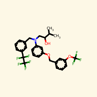 CC(C)C(O)CN(Cc1cccc(C(F)(F)C(F)(F)F)c1)c1cccc(OCc2cccc(OC(F)(F)F)c2)c1